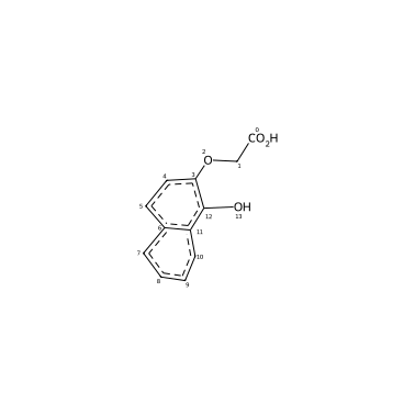 O=C(O)COc1ccc2ccccc2c1O